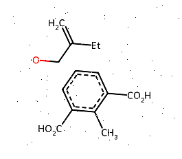 C=C(CC)C[O].Cc1c(C(=O)O)cccc1C(=O)O